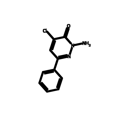 Nn1nc(-c2ccccc2)cc(Cl)c1=O